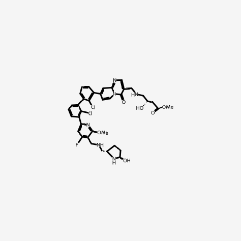 COC(=O)C[C@H](O)CNCc1cnc2cc(-c3cccc(-c4cccc(-c5cc(F)c(CNC[C@@H]6CCC(O)N6)c(OC)n5)c4Cl)c3Cl)ccn2c1=O